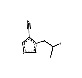 N#Cc1[c]n[c]n1CC(F)F